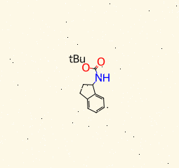 CC(C)(C)OC(=O)NC1CCc2cc[c]cc21